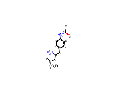 CCOC(=O)C(C)C[C@@H](N)Cc1ccc(NC(=O)C(F)(F)F)cc1